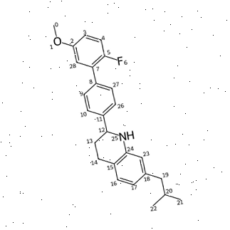 COc1ccc(F)c(-c2ccc(C3CCc4ccc(CC(C)C)cc4N3)cc2)c1